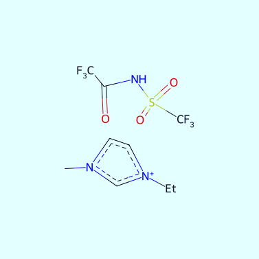 CC[n+]1ccn(C)c1.O=C(NS(=O)(=O)C(F)(F)F)C(F)(F)F